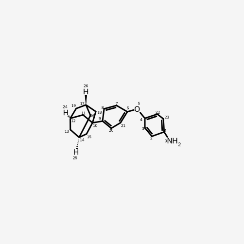 Nc1ccc(Oc2ccc(C34C[C@H]5C[C@H](C3)C[C@@H](C4)C5)cc2)cc1